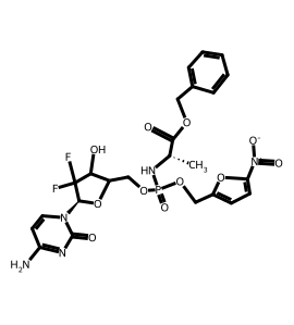 C[C@H](NP(=O)(OCc1ccc([N+](=O)[O-])o1)OCC1O[C@@H](n2ccc(N)nc2=O)C(F)(F)C1O)C(=O)OCc1ccccc1